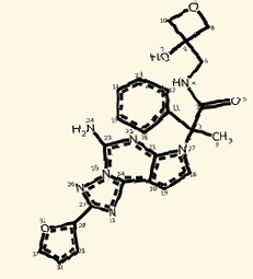 CC(C(=O)NCC1(O)COC1)(c1ccccc1)n1ccc2c1nc(N)n1nc(-c3ccco3)nc21